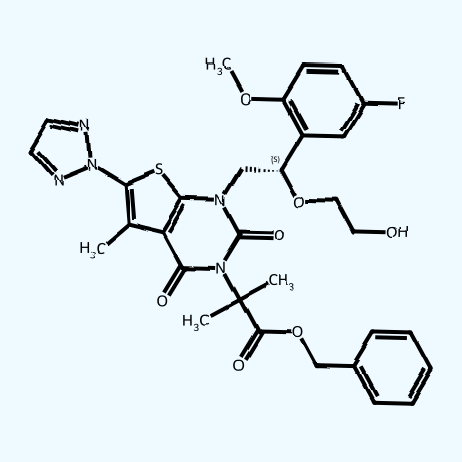 COc1ccc(F)cc1[C@@H](Cn1c(=O)n(C(C)(C)C(=O)OCc2ccccc2)c(=O)c2c(C)c(-n3nccn3)sc21)OCCO